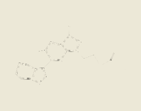 CC(=O)OCCn1nc(N)c2cc(F)c(-c3cnn4ccccc34)nc21